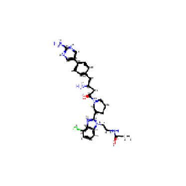 CC(=O)NCCn1c(C2CCCN(C(=O)CC(N)Cc3ccc(-c4cnc(N)nc4)cc3)C2)nc2c(Cl)cccc21